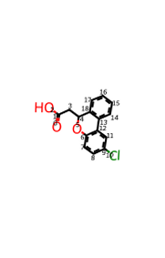 O=C(O)CC1Oc2ccc(Cl)cc2-c2ccccc21